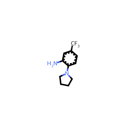 Nc1cc(C(F)(F)F)ccc1N1CCCC1